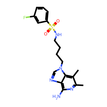 Cc1nc(N)c2ncn(CCCCNS(=O)(=O)c3cccc(F)c3)c2c1C